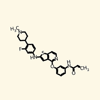 C=CC(=O)Nc1cccc(Oc2nccc3sc(Nc4ccc(C5CCN(C)CC5)c(F)c4)cc23)c1